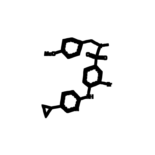 COc1ccc(CN(C)S(=O)(=O)c2ccc(Nc3ccc(C4CC4)cn3)c(Br)c2)cc1